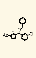 CC(=O)c1ccc([C](OCc2ccccc2)c2cccc(Cl)c2)s1